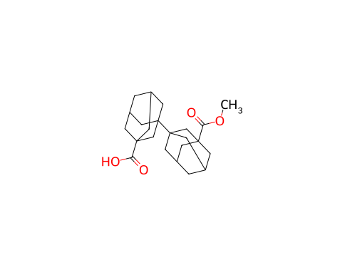 COC(=O)C12CC3CC(C1)CC(C14CC5CC(CC(C(=O)O)(C5)C1)C4)(C3)C2